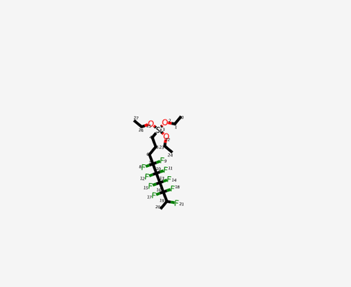 CCO[Si](CCCC(F)(F)C(F)(F)C(F)(F)C(F)(F)C(C)F)(OCC)OCC